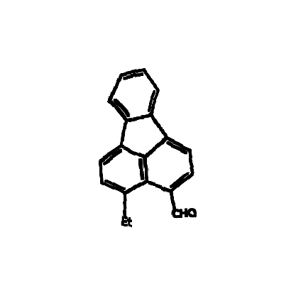 CCc1ccc2c3c(ccc(C=O)c13)-c1ccccc1-2